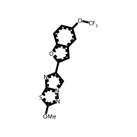 COc1nn2cc(-c3cc4cc(OC(F)(F)F)ccc4o3)nc2s1